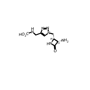 N[C@@H]1C(=O)N[C@@H]1Cn1cc(CNC(=O)O)nn1